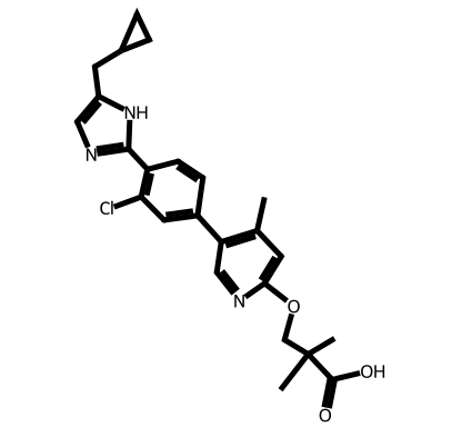 Cc1cc(OCC(C)(C)C(=O)O)ncc1-c1ccc(-c2ncc(CC3CC3)[nH]2)c(Cl)c1